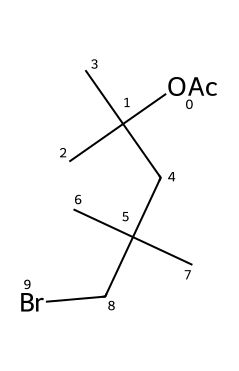 CC(=O)OC(C)(C)CC(C)(C)CBr